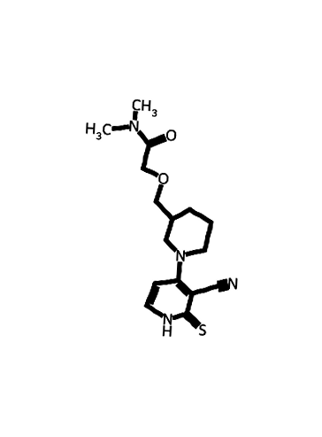 CN(C)C(=O)COCC1CCCN(c2cc[nH]c(=S)c2C#N)C1